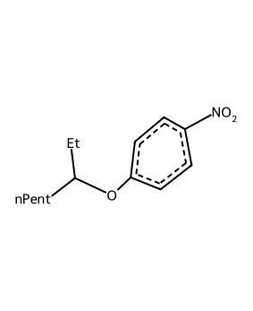 CCCCCC(CC)Oc1ccc([N+](=O)[O-])cc1